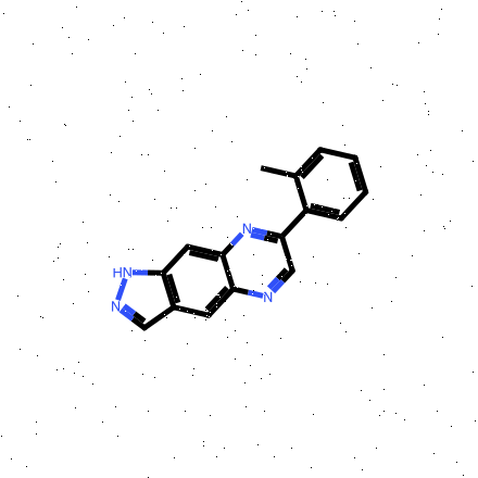 Cc1ccccc1-c1cnc2cc3cn[nH]c3cc2n1